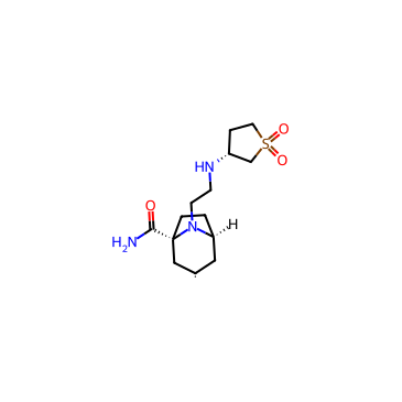 NC(=O)[C@]12C[CH]C[C@H](CC1)N2CCN[C@@H]1CCS(=O)(=O)C1